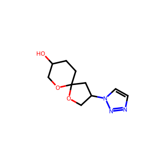 OC1CCC2(CC(n3ccnn3)CO2)OC1